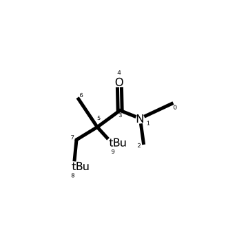 CN(C)C(=O)C(C)(CC(C)(C)C)C(C)(C)C